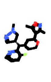 Cc1noc(C)c1C1CC(C(c2ncccc2F)[C@@H]2C=NN(C)C2)CCO1